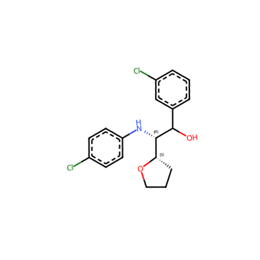 OC(c1cccc(Cl)c1)[C@@H](Nc1ccc(Cl)cc1)[C@@H]1CCCO1